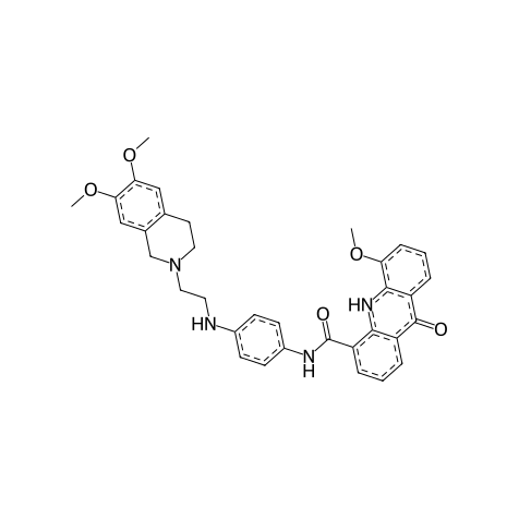 COc1cc2c(cc1OC)CN(CCNc1ccc(NC(=O)c3cccc4c(=O)c5cccc(OC)c5[nH]c34)cc1)CC2